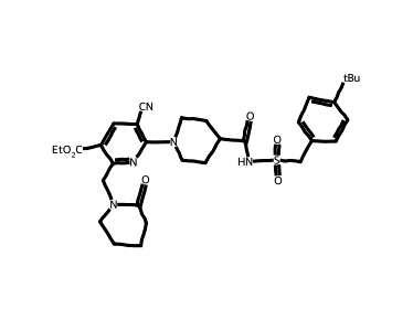 CCOC(=O)c1cc(C#N)c(N2CCC(C(=O)NS(=O)(=O)Cc3ccc(C(C)(C)C)cc3)CC2)nc1CN1CCCCC1=O